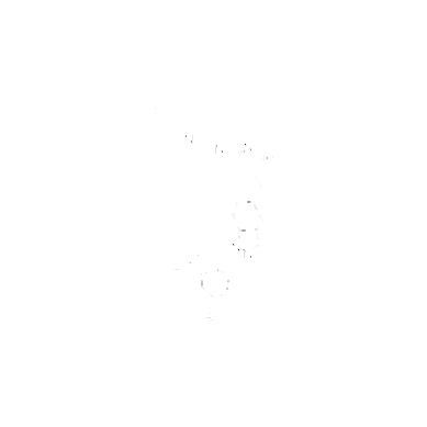 O=C1N=C(N2CCN(CCO)CC2)S/C1=C\c1ccc2c(cnn2Cc2ccc(Br)cc2C(F)(F)F)c1